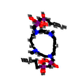 CN1CCCN(CP(=O)(O)CP(=O)(O)CCC(=O)O)CCN(C)CCCN(CP(=O)(O)CP(=O)(O)CCC(=O)O)CC1